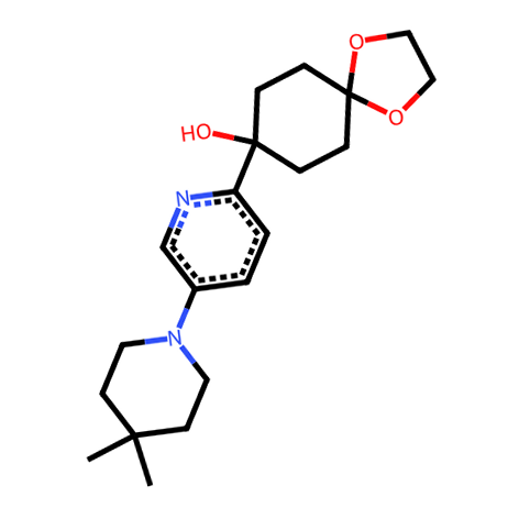 CC1(C)CCN(c2ccc(C3(O)CCC4(CC3)OCCO4)nc2)CC1